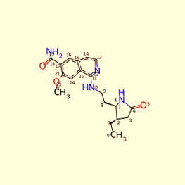 CC[C@@H]1CC(=O)N[C@@H]1CCNc1nccc2cc(C(N)=O)c(OC)cc12